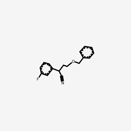 N#CC(CCOCc1ccccc1)c1cccc(F)c1